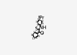 CC(C)c1ccc(NC(=S)C(=O)c2ccccc2)cc1